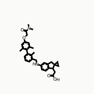 Cc1cc(OCC(=O)N(C)C)cc(C)c1-c1cccc(CNc2ccc3c(c2)CC2(CC2)C3CC(=O)O)c1C